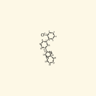 Clc1ccccc1-c1c[c]cc(-c2cn3ccccc3n2)c1